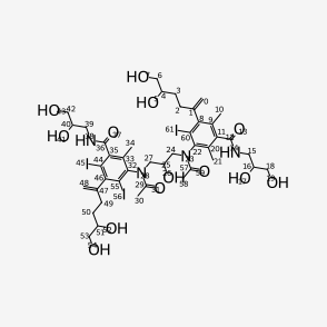 C=C(CCC(O)CO)c1c(C)c(C(=O)NCC(O)CO)c(C)c(N(CC(O)CN(C(C)=O)c2c(C)c(C(=O)NCC(O)CO)c(I)c(C(=C)CCC(O)CO)c2I)C(C)=O)c1I